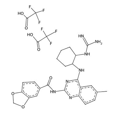 Cc1ccc2nc(NC(=O)c3ccc4c(c3)OCO4)nc(NC3CCCCC3NC(=N)N)c2c1.O=C(O)C(F)(F)F.O=C(O)C(F)(F)F